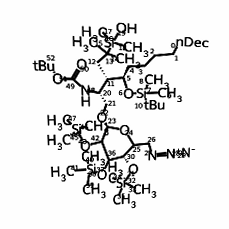 CCCCCCCCCCCCCC[C@@H](O[Si](C)(C)C(C)(C)C)[C@@H](CC(C)(C)[Si](C)(C)O)[C@H](CO[C@H]1OC(CN=[N+]=[N-])[C@H](O[Si](C)(C)C)C(O[Si](C)(C)C)C1O[Si](C)(C)C)NC(=O)OC(C)(C)C